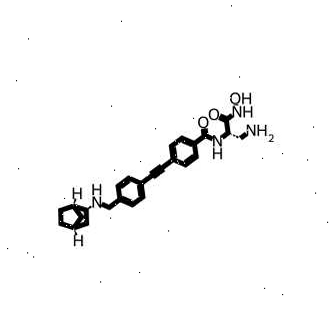 NC[C@H](NC(=O)c1ccc(C#Cc2ccc(CN[C@@H]3C[C@H]4CC[C@@H]3C4)cc2)cc1)C(=O)NO